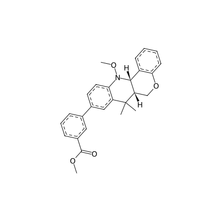 COC(=O)c1cccc(-c2ccc3c(c2)C(C)(C)[C@H]2COc4ccccc4[C@H]2N3OC)c1